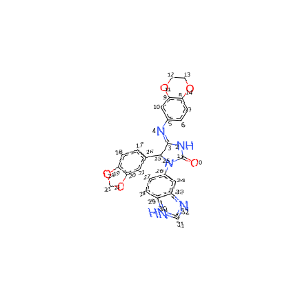 O=C1NC(=Nc2ccc3c(c2)OCCO3)C(c2ccc3c(c2)OCO3)N1c1ccc2[nH]cnc2c1